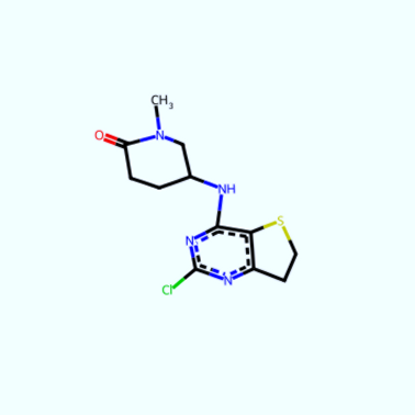 CN1CC(Nc2nc(Cl)nc3c2SCC3)CCC1=O